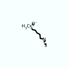 C[S+]([O-])CCCCCN=C=S